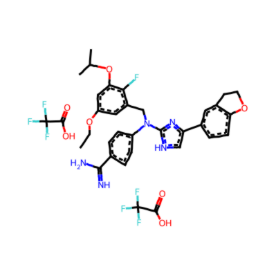 CCOc1cc(CN(c2ccc(C(=N)N)cc2)c2nc(-c3ccc4c(c3)CCO4)c[nH]2)c(F)c(OC(C)C)c1.O=C(O)C(F)(F)F.O=C(O)C(F)(F)F